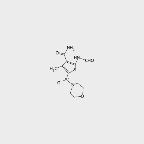 Cc1c([S+]([O-])N2CCOCC2)sc(NC=O)c1C(N)=O